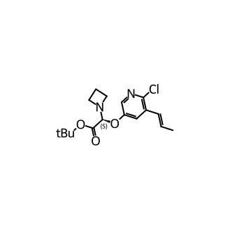 CC=Cc1cc(O[C@@H](C(=O)OC(C)(C)C)N2CCC2)cnc1Cl